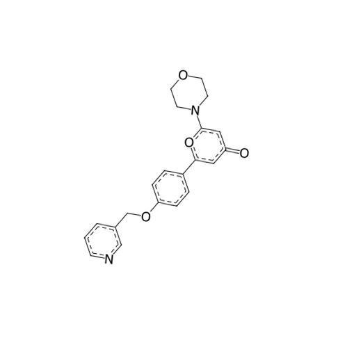 O=c1cc(-c2ccc(OCc3cccnc3)cc2)oc(N2CCOCC2)c1